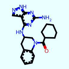 Nc1nc(NC2Cc3ccccc3N(C(=O)C3CCCCC3)C2)c2cn[nH]c2n1